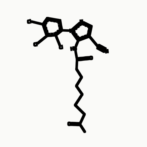 CC(=O)CCCCCCC(=O)Nc1c(C#N)cnn1-c1ccc(Cl)c(Cl)c1Cl